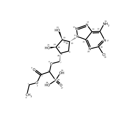 CCOC(=O)C(OC[C@H]1C[C@@H](n2nnc3c(N)nc(Cl)nc32)[C@H](O)[C@@H]1O)P(=O)(O)O